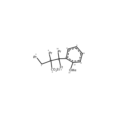 CCOC(=O)C(CC(C)C)(C(C)C)C(CC)(c1ccccc1OC)C(C)C